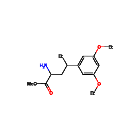 CCOc1cc(OCC)cc(C(CC)CC(N)C(=O)OC)c1